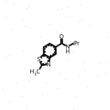 Cc1nc2cc(C(=O)NC(C)C)ccc2s1